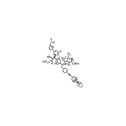 COC(=O)N[C@H](C(=O)N[C@@H](Cc1ccc(C#Cc2cnc(N3CC4CCC(C3)N4C3COC3)nc2)cc1)[C@@H](O)CN(Cc1c(F)cc(-c2ccn(CC(F)F)n2)cc1F)NC(=O)[C@@H](NC(=O)O)C(C)(C)C)C(C)(C)C(F)(F)F